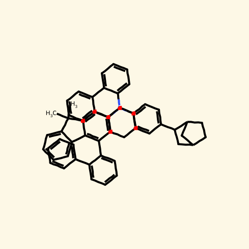 CC1(C)c2ccccc2-c2c(-c3ccccc3-c3ccccc3)cc(N(c3ccc(C4CC5CCC4C5)cc3)c3ccccc3-c3ccccc3C3CCCCC3)cc21